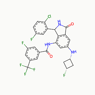 O=C(Nc1cc(N[C@H]2C[C@@H](F)C2)cc2c1C(c1cc(F)ccc1Cl)NC2=O)c1cc(F)cc(C(F)(F)F)c1